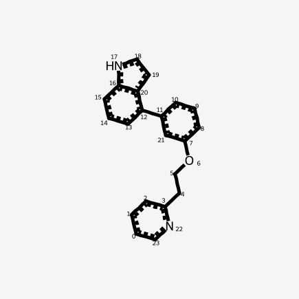 c1ccc(CCOc2cccc(-c3cccc4[nH]ccc34)c2)nc1